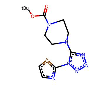 CC(C)(C)OC(=O)N1CCN(c2nnnn2-c2nccs2)CC1